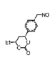 CC[C@H]1C[C@@H](c2ccc(CN=O)cc2)OC(=O)O1